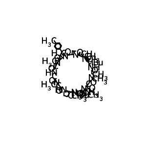 CC[C@H](C)C1NC(=O)C(C)N(C)C(=O)CC(C(=O)N(C)C)N(C)C(=O)C([C@@H](C)CC)N(C)C(=O)C2(CCCC2)NC(=O)CN(C)C(=O)CNC(=O)CN(C)C(=O)C(CCc2ccc(C)cc2)N(C)C(=O)C2CCN2C(=O)C(C)N(C)C1=O